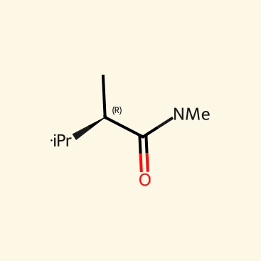 CNC(=O)[C@H](C)[C](C)C